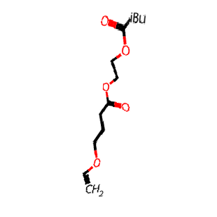 C=COCCCC(=O)OCCOC(=O)C(C)CC